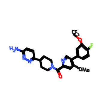 COc1cc(C(=O)N2CCC(c3ccc(N)nn3)CC2)ncc1-c1ccc(F)c(OCC(F)(F)F)c1